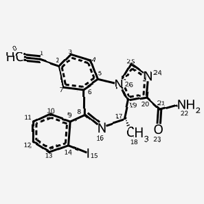 C#Cc1ccc2c(c1)C(c1ccccc1I)=N[C@@H](C)c1c(C(N)=O)ncn1-2